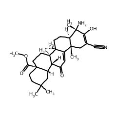 COC(=O)[C@]12CCC(C)(C)C[C@H]1[C@H]1C(=O)C=C3[C@@]4(C)CC(C#N)=C(O)[C@@](C)(N)[C@@H]4CC[C@@]3(C)[C@]1(C)CC2